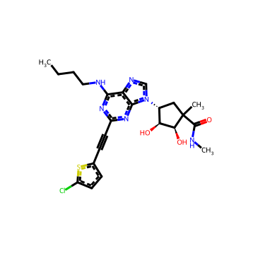 CCCCNc1nc(C#Cc2ccc(Cl)s2)nc2c1ncn2[C@@H]1CC(C)(C(=O)NC)[C@@H](O)[C@H]1O